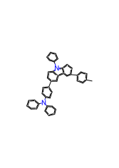 Cc1ccc(-c2ccc3c(c2)c2cc(-c4ccc(N(c5ccccc5)c5ccccc5)cc4)ccc2n3-c2ccccc2)cc1